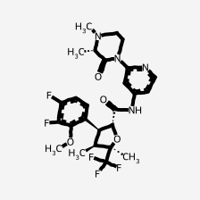 COc1c([C@H]2[C@H](C(=O)Nc3ccnc(N4CCN(C)[C@@H](C)C4=O)c3)O[C@@](C)(C(F)(F)F)[C@H]2C)ccc(F)c1F